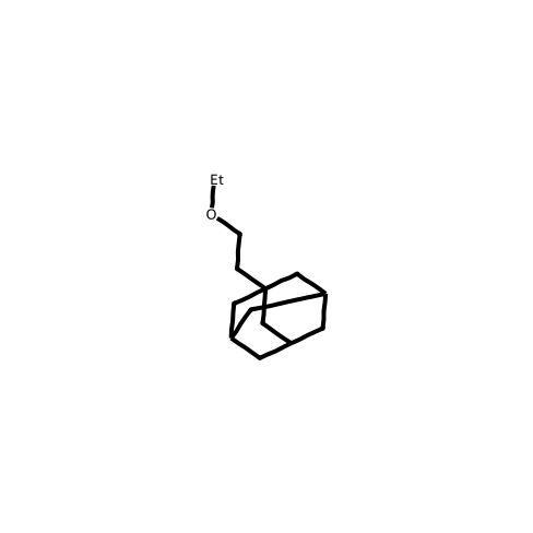 [CH2]COCCC12CC3CC(CC(C3)C1)C2